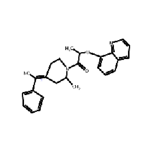 CC(Oc1cccc2cccnc12)C(=O)N1CC/C(=C(\C#N)c2ccccc2)CC1C